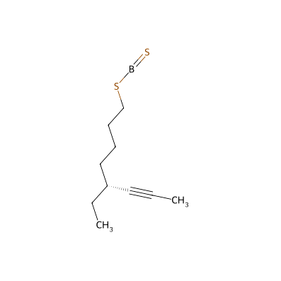 CC#C[C@H](CC)CCCCSB=S